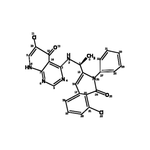 C[C@H](Nc1ncnc2[nH]cc(Cl)c(=O)c12)c1cc2cccc(Cl)c2c(=O)n1-c1ccccc1